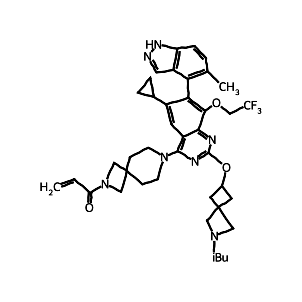 C=CC(=O)N1CC2(CCN(c3nc(OC4CC5(C4)CN(C(C)CC)C5)nc4c(OCC(F)(F)F)c(-c5c(C)ccc6[nH]ncc56)c(C5CC5)cc34)CC2)C1